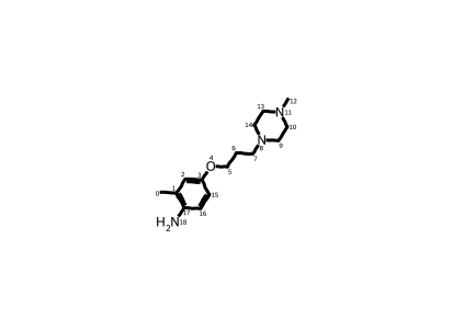 Cc1cc(OCCCN2CCN(C)CC2)ccc1N